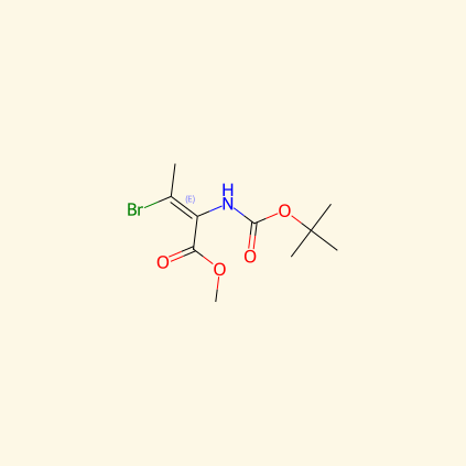 COC(=O)/C(NC(=O)OC(C)(C)C)=C(/C)Br